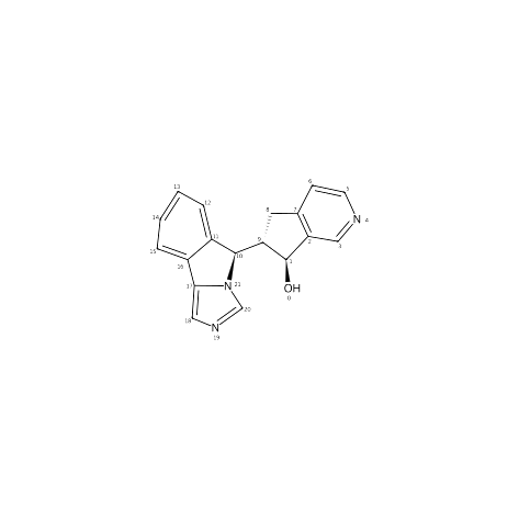 O[C@@H]1c2cnccc2C[C@H]1[C@@H]1c2ccccc2-c2cncn21